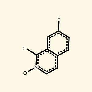 [O-][n+]1ccc2ccc(F)cc2c1Cl